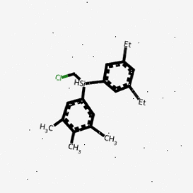 CCc1cc(CC)cc([SiH](CCl)c2cc(C)c(C)c(C)c2)c1